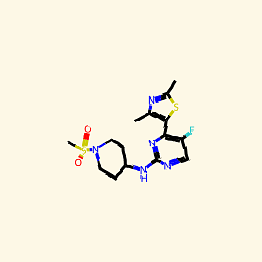 Cc1nc(C)c(-c2nc(NC3CCN(S(C)(=O)=O)CC3)ncc2F)s1